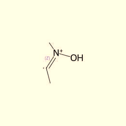 C/[C]=[N+](/C)O